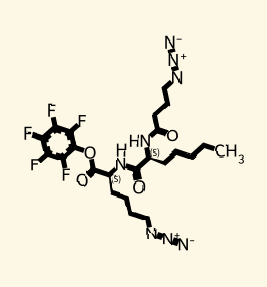 CCCCC[C@H](NC(=O)CCCN=[N+]=[N-])C(=O)N[C@@H](CCCCN=[N+]=[N-])C(=O)Oc1c(F)c(F)c(F)c(F)c1F